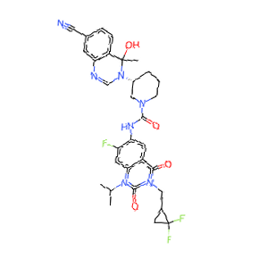 CC(C)n1c(=O)n(CC2CC2(F)F)c(=O)c2cc(NC(=O)N3CCC[C@@H](N4C=Nc5cc(C#N)ccc5C4(C)O)C3)c(F)cc21